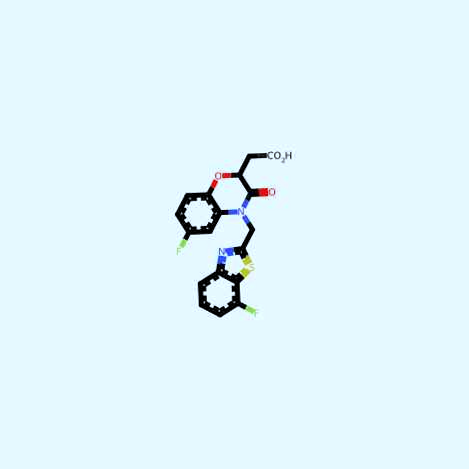 O=C(O)CC1Oc2ccc(F)cc2N(Cc2nc3cccc(F)c3s2)C1=O